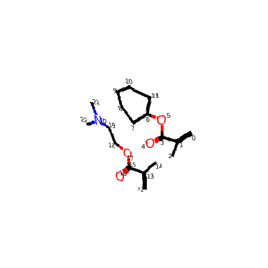 C=C(C)C(=O)OC1CCCCC1.C=C(C)C(=O)OCCN(C)C